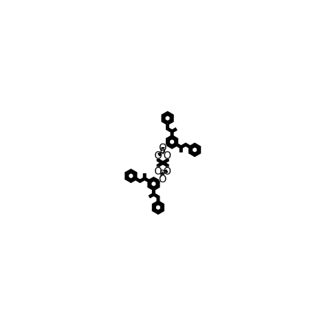 CC(Cc1ccccc1)c1cc(OP2OCC3(CO2)COP(Oc2cc(C(C)Cc4ccccc4)cc(C(C)Cc4ccccc4)c2)OC3)cc(C(C)Cc2ccccc2)c1